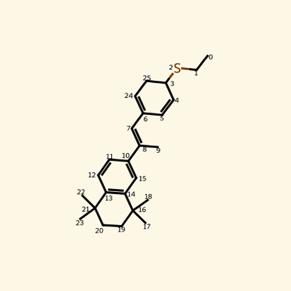 CCSC1C=CC(/C=C(\C)c2ccc3c(c2)C(C)(C)CCC3(C)C)=CC1